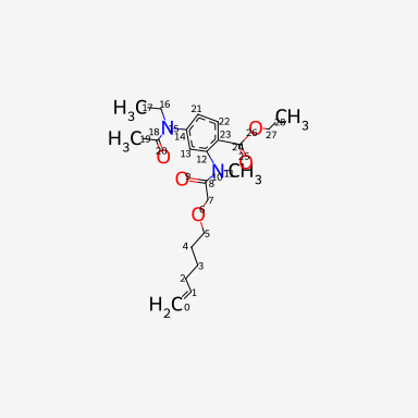 C=CCCCCOCC(=O)N(C)c1cc(N(CC)C(C)=O)ccc1C(=O)OCC